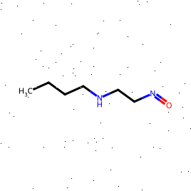 CCCCNCCN=O